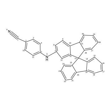 N#Cc1ccc(Nc2ccc3c(c2)C2(c4ccccc4-c4ccccc42)c2ccccc2-3)cc1